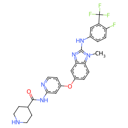 Cn1c(Nc2ccc(F)c(C(F)(F)F)c2)nc2cc(Oc3ccnc(NC(=O)C4CCNCC4)c3)ccc21